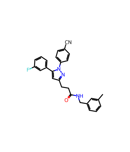 Cc1cccc(CNC(=O)CCc2cc(-c3cccc(F)c3)n(-c3ccc(C#N)cc3)n2)c1